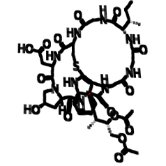 CC[C@H](C)[C@@H]1NC(=O)CNC(=O)C2Cc3c([nH]c4ccccc34)SCC(NC(=O)CNC1=O)C(=O)NC(CC(=O)O)C(=O)N1C[C@H](O)C[C@H]1C(=O)N[C@@H]([C@@H](C)[C@@H](COC(C)=O)OC(C)=O)C(=O)N2